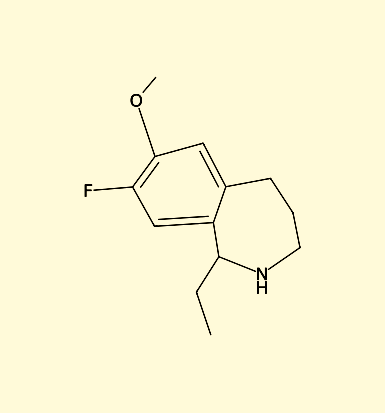 CCC1NCCCc2cc(OC)c(F)cc21